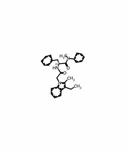 CCc1c(C)n(CC(=O)N[C@@H](Cc2ccccc2)C(=O)N(C)c2ccccc2)c2ccccc12